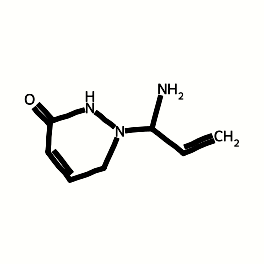 C=CC(N)N1CC=CC(=O)N1